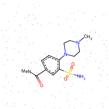 CNC(=O)c1ccc(N2CCN(C)CC2)c(S(N)(=O)=O)c1